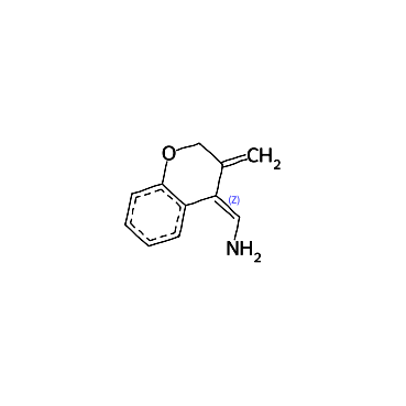 C=C1COc2ccccc2/C1=C\N